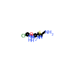 NCC#Cc1cnc(N)c2c(-c3ccc(NC(=O)Nc4cccc(Cl)c4)cc3)csc12